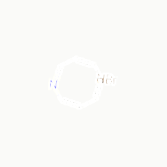 Br.C1=CC=CN=CC=C1